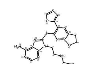 CC(C)(C)CNCCn1c(Sc2cc3c(cc2-c2ccco2)CCO3)nc2c(N)ncnc21